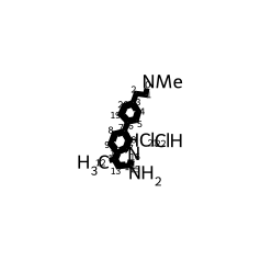 CNCCc1ccc(-c2ccc3c(C)cc(N)nc3c2)cc1.Cl.Cl